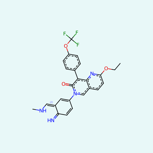 CCOc1ccc2cn(C3=C/C(=C/NC)C(=N)C=C3)c(=O)c(-c3ccc(OC(F)(F)F)cc3)c2n1